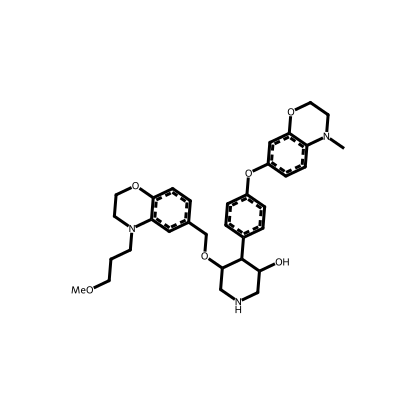 COCCCN1CCOc2ccc(COC3CNCC(O)C3c3ccc(Oc4ccc5c(c4)OCCN5C)cc3)cc21